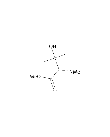 CN[C@H](C(=O)OC)C(C)(C)O